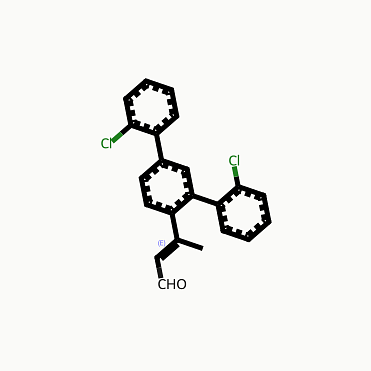 C/C(=C\C=O)c1ccc(-c2ccccc2Cl)cc1-c1ccccc1Cl